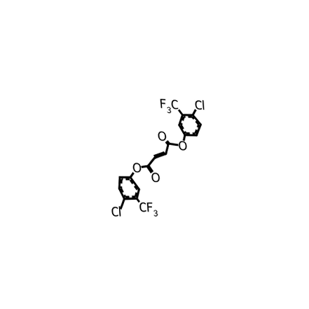 O=C(/C=C/C(=O)Oc1ccc(Cl)c(C(F)(F)F)c1)Oc1ccc(Cl)c(C(F)(F)F)c1